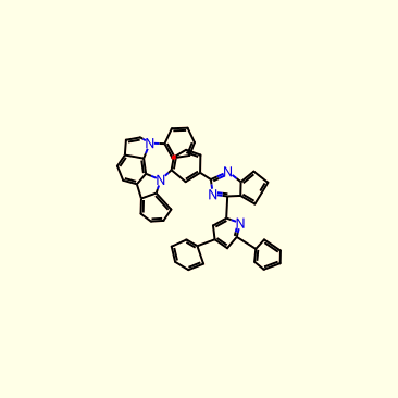 c1ccc(-c2cc(-c3ccccc3)nc(-c3nc(-c4cccc(-n5c6ccccc6c6ccc7ccn(-c8ccccc8)c7c65)c4)nc4ccccc34)c2)cc1